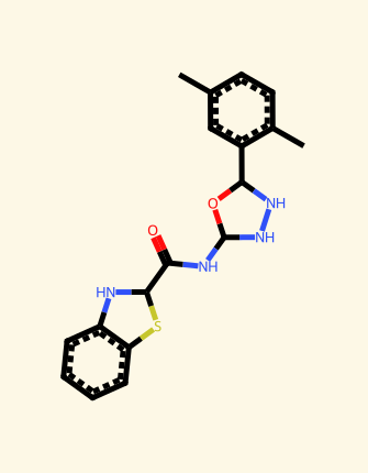 Cc1ccc(C)c(C2NNC(NC(=O)C3Nc4ccccc4S3)O2)c1